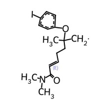 [CH2]C(C)(CC/C=C/C(=O)N(C)C)Oc1ccc(I)cc1